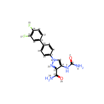 NC(=O)Nc1cn(-c2ccc(-c3ccc(F)c(F)c3)cc2)nc1C(N)=O